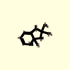 CC1(C)NC2=CN=CNC2(Cl)N1